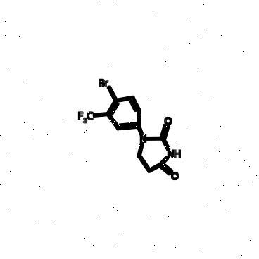 O=C1CCN(c2ccc(Br)c(C(F)(F)F)c2)C(=O)N1